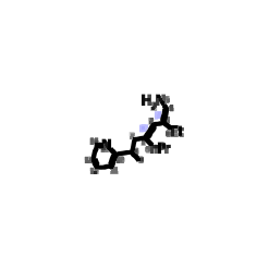 CCC/C(=C\C(=C/N)CC)CC(C)c1ccccn1